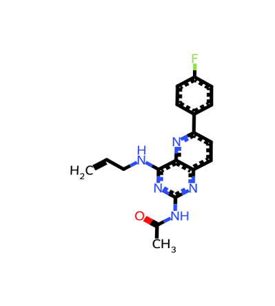 C=CCNc1nc(NC(C)=O)nc2ccc(-c3ccc(F)cc3)nc12